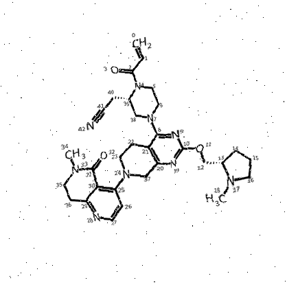 C=CC(=O)N1CCN(c2nc(OC[C@@H]3CCCN3C)nc3c2CCN(c2ccnc4c2C(=O)N(C)CC4)C3)C[C@@H]1CC#N